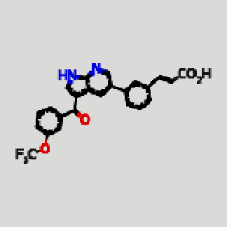 O=C(O)/C=C/c1cccc(-c2cnc3[nH]cc(C(=O)c4cccc(OC(F)(F)F)c4)c3c2)c1